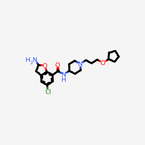 NC1Cc2cc(Cl)cc(C(=O)NC3CCN(CCCOC4CCCC4)CC3)c2O1